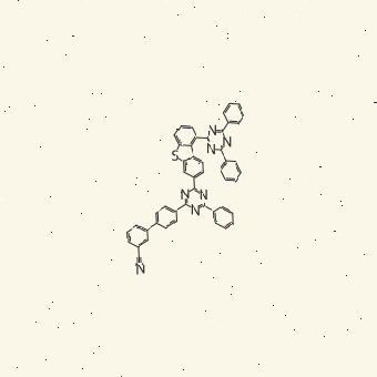 N#Cc1cccc(-c2ccc(-c3nc(-c4ccccc4)nc(-c4ccc5c(c4)sc4cccc(-c6nc(-c7ccccc7)nc(-c7ccccc7)n6)c45)n3)cc2)c1